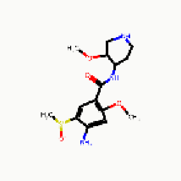 COc1cc(N)c([S+](C)[O-])cc1C(=O)NC1CCNCC1OC